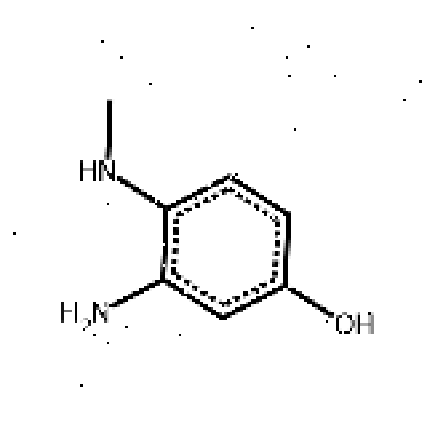 CNc1ccc(O)cc1N